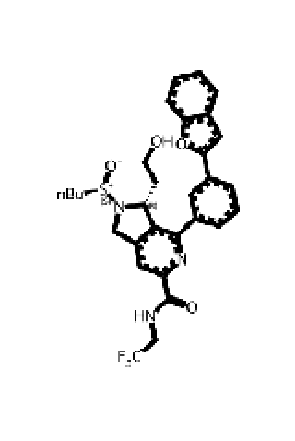 CCCC[S@@+]([O-])N1Cc2cc(C(=O)NCC(F)(F)F)nc(-c3cccc(-c4cc5ccccc5o4)c3)c2[C@H]1CCO